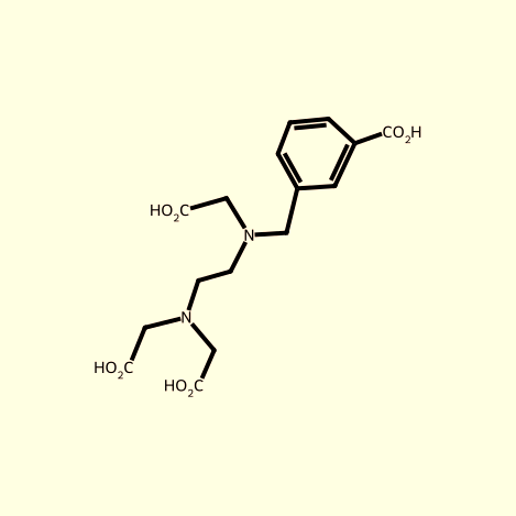 O=C(O)CN(CCN(CC(=O)O)Cc1cccc(C(=O)O)c1)CC(=O)O